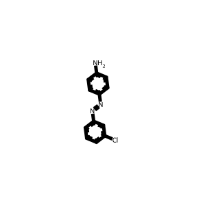 Nc1ccc(/N=N/c2cccc(Cl)c2)cc1